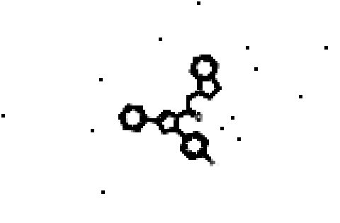 CCc1ccc(C2CC(c3ccccc3)=CC2C(=O)CC2CCc3ccccc32)cc1